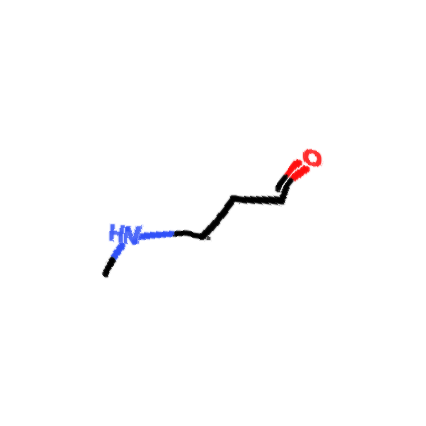 CN[CH]CC=O